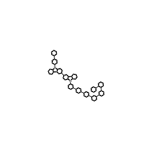 c1ccc(-c2ccc(-n3c4ccccc4c4cc(-c5ccc6c(c5)c5ccccc5n6-c5cccc(-c6ccc(-c7ccc(-c8cccc(-c9cccc(-c%10ccccc%10-c%10ccccc%10)c9)c8)cc7)cc6)c5)ccc43)cc2)cc1